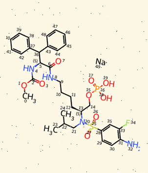 COC(=O)N[C@H](C(=O)NCCCC[C@@H](COP(=O)(O)O)N(CC(C)C)S(=O)(=O)c1ccc(N)c(F)c1)C(c1ccccc1)c1ccccc1.[Na]